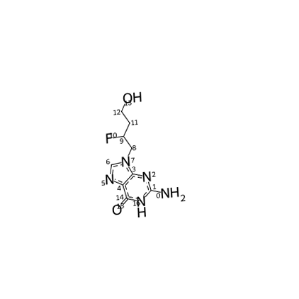 Nc1nc2c(ncn2CC(F)CCO)c(=O)[nH]1